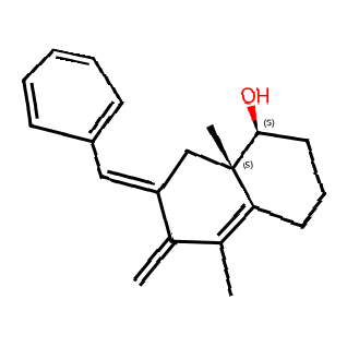 C=C1C(=Cc2ccccc2)C[C@@]2(C)C(=C1C)CCC[C@@H]2O